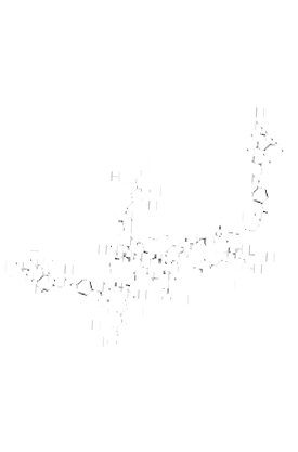 C[C@H](CCCCNC(=O)OCCSSC[C@@H](C)NC(=O)[C@H](CCC(=O)NC[C@H](O)[C@@H](O)[C@H](O)[C@H](O)CO)NC(=O)[C@H](CCC(=O)O)NC(=O)[C@H](CCC(=O)NC[C@H](O)[C@@H](O)[C@H](O)[C@H](O)CO)NC(=O)[C@H](CCCC(=O)O)NC(=O)[C@H](CCC(=O)NC[C@H](O)[C@@H](O)[C@H](O)[C@H](O)CO)NC(=O)CC[C@@H](C)NC(=O)c1ccc(NCc2cnc3nc(N)[nH]c(=O)c3n2)cc1)NC(=O)c1ccc(NCc2cnc3nc(N)nc(N)c3n2)cc1